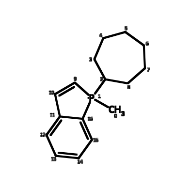 C[P]1(C2CCCCCC2)C=Cc2ccccc21